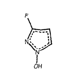 On1ccc(F)n1